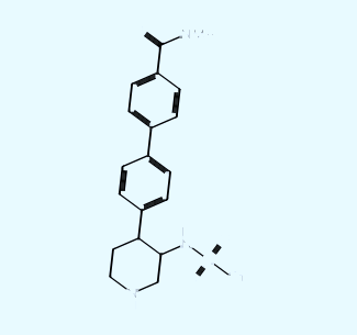 CNC(=O)c1ccc(-c2ccc(C3CCNCC3NS(=O)(=O)C(C)C)cc2)cc1